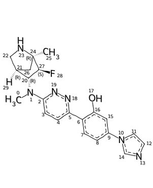 CN(c1ccc(-c2ccc(-n3ccnc3)cc2O)nn1)[C@@H]1[C@H]2CN[C@](C)(C2)[C@H]1F